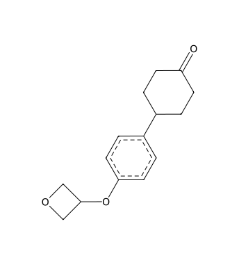 O=C1CCC(c2ccc(OC3COC3)cc2)CC1